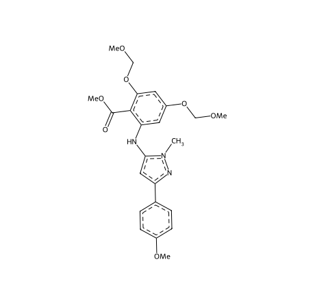 COCOc1cc(Nc2cc(-c3ccc(OC)cc3)nn2C)c(C(=O)OC)c(OCOC)c1